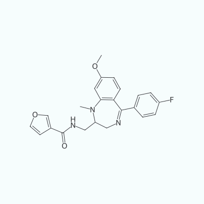 COc1ccc2c(c1)N(C)C(CNC(=O)c1ccoc1)CN=C2c1ccc(F)cc1